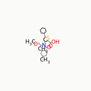 COCC(C)N(c1cc(-c2ccccc2)sc1C(=O)O)C(=O)[C@H]1CC[C@H](C)CC1